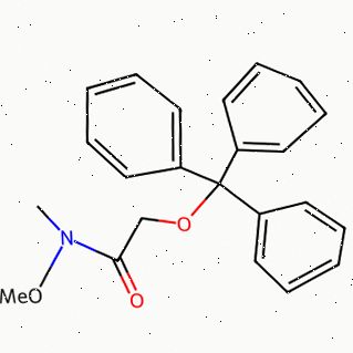 CON(C)C(=O)COC(c1ccccc1)(c1ccccc1)c1ccccc1